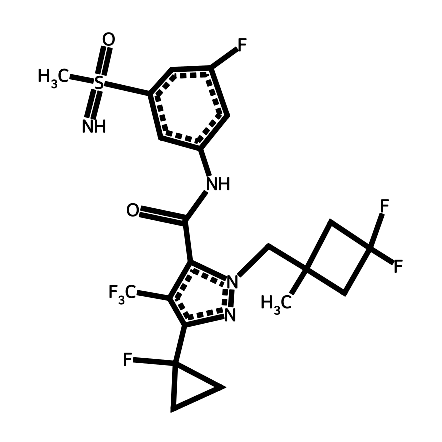 CC1(Cn2nc(C3(F)CC3)c(C(F)(F)F)c2C(=O)Nc2cc(F)cc(S(C)(=N)=O)c2)CC(F)(F)C1